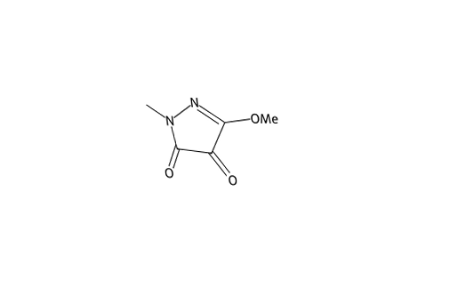 COC1=NN(C)C(=O)C1=O